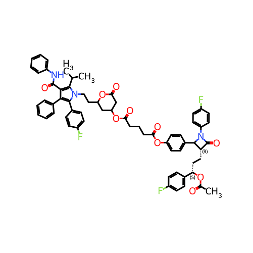 CC(=O)O[C@@H](CC[C@H]1C(=O)N(c2ccc(F)cc2)C1c1ccc(OC(=O)CCCC(=O)OC2CC(=O)OC(CCn3c(-c4ccc(F)cc4)c(-c4ccccc4)c(C(=O)Nc4ccccc4)c3C(C)C)C2)cc1)c1ccc(F)cc1